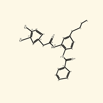 CCCCc1ccc(OC(=O)c2ccccc2)c(NC(=O)Cc2ccc(Cl)c(Cl)c2)c1